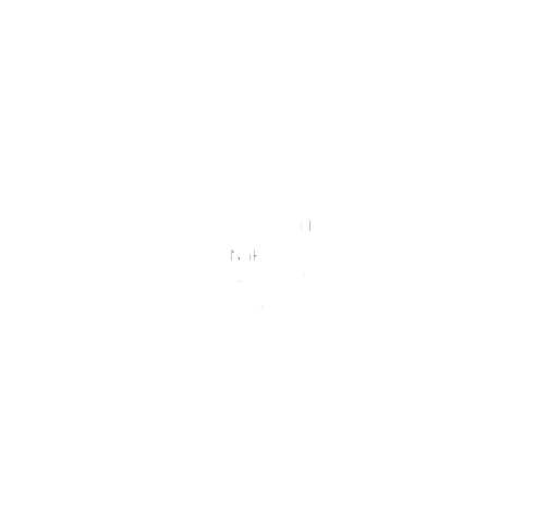 Oc1cc[c]cc1.[NaH]